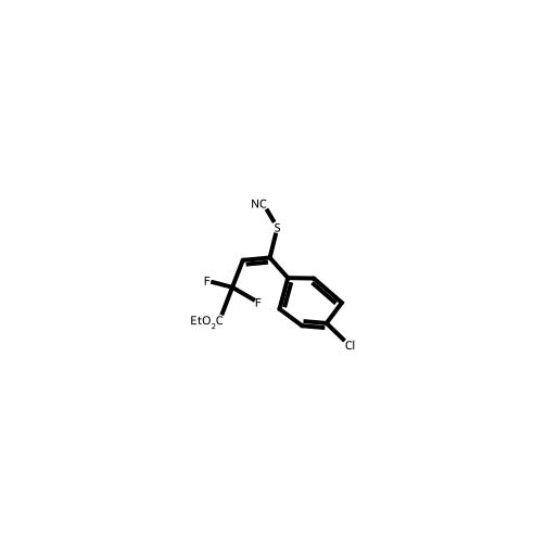 CCOC(=O)C(F)(F)/C=C(/SC#N)c1ccc(Cl)cc1